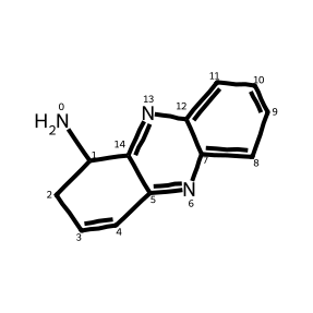 NC1CC=Cc2nc3ccccc3nc21